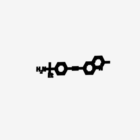 CCC(C)(N)c1ccc(C#Cc2ccc3nc(C)ccc3c2)cc1